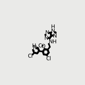 COc1c(CCNc2ncnc3[nH]cnc23)cc(Cl)cc1-c1cncc(Cl)c1